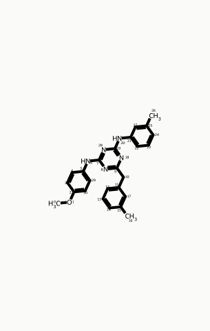 COc1ccc(Nc2nc(Cc3cccc(C)c3)nc(Nc3cccc(C)c3)n2)cc1